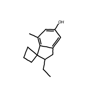 CCC1Cc2cc(O)cc(C)c2C12CCC2